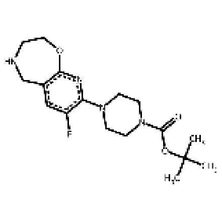 CC(C)(C)OC(=O)N1CCN(c2nc3c(cc2F)CNCCO3)CC1